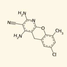 Cc1cc(Cl)cc2c1Oc1nc(N)c(C#N)c(N)c1C2